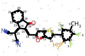 Cc1c(F)c(F)c(P)c(-c2cc3oc(/C=C4\C(=O)c5ccccc5C4=C(C#N)C#N)cc3s2)c1F